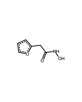 O=C(Cc1ccco1)NO